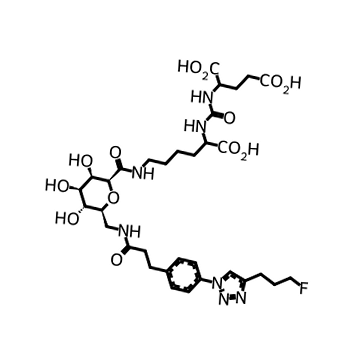 O=C(O)CCC(NC(=O)NC(CCCCNC(=O)[C@H]1O[C@@H](CNC(=O)CCc2ccc(-n3cc(CCCF)nn3)cc2)[C@H](O)[C@@H](O)[C@H]1O)C(=O)O)C(=O)O